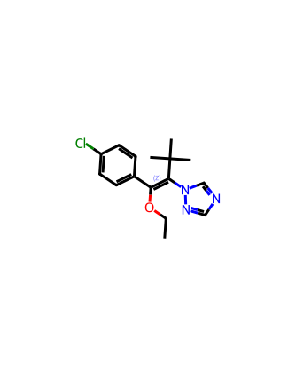 CCO/C(=C(\n1cncn1)C(C)(C)C)c1ccc(Cl)cc1